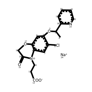 CC(Oc1cc2c(cc1Cl)N(CCC(=O)[O-])C(=O)CO2)c1ccccn1.[Na+]